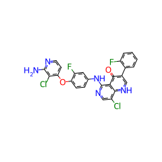 Nc1nccc(Oc2ccc(Nc3ncc(Cl)c4[nH]cc(-c5ccccc5F)c(=O)c34)cc2F)c1Cl